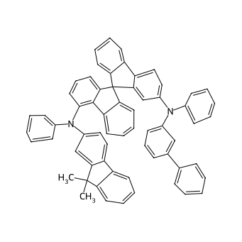 CC1(C)c2ccccc2-c2ccc(N(c3ccccc3)c3cccc4c3-c3ccccc3C43c4ccccc4-c4ccc(N(c5ccccc5)c5cccc(-c6ccccc6)c5)cc43)cc21